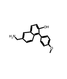 COc1ccc(-c2c(O)ccc3cc(CN)ccc23)cc1